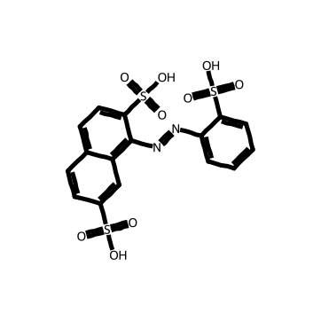 O=S(=O)(O)c1ccc2ccc(S(=O)(=O)O)c(N=Nc3ccccc3S(=O)(=O)O)c2c1